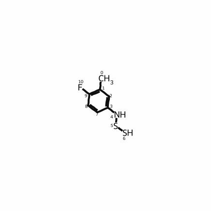 Cc1cc(NSS)ccc1F